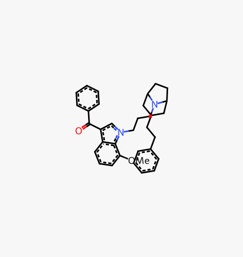 COc1cccc2c(C(=O)c3ccccc3)cn(CCCN3C4CCC3CC(CCc3ccccc3)C4)c12